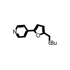 CC(C)(C)Cc1ccc(-c2ccncc2)o1